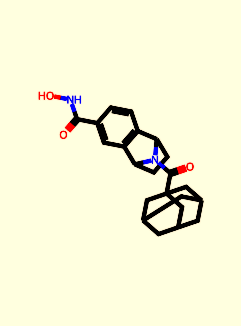 O=C(NO)c1ccc2c(c1)C1CCC2N1C(=O)C12CC3CC(CC(C3)C1)C2